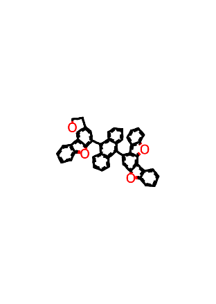 c1ccc2c(c1)oc1c(-c3c4ccccc4c(-c4cc5oc6ccccc6c5c5oc6ccccc6c45)c4ccccc34)cc3c(c12)OCC3